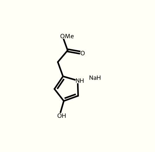 COC(=O)Cc1cc(O)c[nH]1.[NaH]